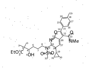 CCOC(=O)C(C)(C)C(O)CCCN(C1N=c2oc(-c3ccc(C)cc3)c(C(=O)NC)c2=CC1C1CC1)S(C)(=O)=O